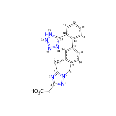 CCCc1nc(CC(=O)O)nn1Cc1ccc(-c2ccccc2-c2nnn[nH]2)cc1